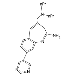 CCCN(CCC)CC1=Cc2ccc(-c3cncnc3)cc2N=C(N)C1